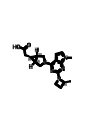 C[C@H]1CCN1c1nc(N2C[C@@H]3[C@@H](CC(=O)O)[C@@H]3C2)c2ccn(C)c2n1